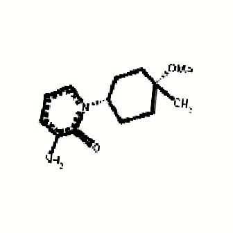 CO[C@]1(C)CC[C@H](n2cccc(N)c2=O)CC1